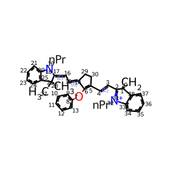 C=C1C(/C=C/C2=C(Oc3ccccc3)C(=C/C=C3/N(CCC)c4ccccc4C3(C)C)/CC2)=[N+](CCC)c2ccccc21